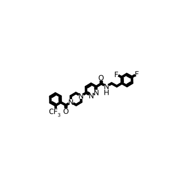 O=C(NCCc1ccc(F)cc1F)c1ccc(N2CCN(C(=O)c3ccccc3C(F)(F)F)CC2)nn1